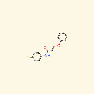 O=C(C=COc1ccccc1)Nc1ccc(F)cc1